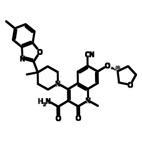 Cc1ccc2oc(C3(C)CCN(c4c(C(N)=O)c(=O)n(C)c5cc(O[C@@H]6CCOC6)c(C#N)cc45)CC3)nc2c1